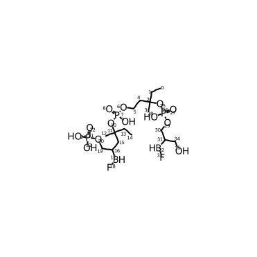 CCC(C)(CCOP(=O)(O)OC(C)(CC)CC(BF)COP(=O)(O)O)OP(=O)(O)OCC(BF)CO